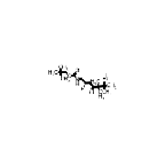 CC(C)(C)COC(=O)NC[C@@H](F)CC(=O)C(C)(C)C(C)(C)C